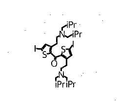 CC(C)CN(CCc1cc(I)sc1C(=O)c1sc(I)cc1CCN(CC(C)C)CC(C)C)CC(C)C